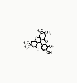 CC1(C)CC(=O)C2=C(C1)OC1=C(C(=O)CC(C)(C)C1)C2c1ccc(O)c(O)c1